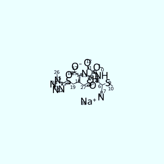 CO[C@@]1(NC(=O)C(C#N)SC)C(=O)N2C(C(=O)[O-])=C(CSc3nnnn3C)CS[C@H]21.[Na+]